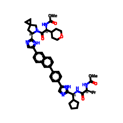 COC(=O)N[C@H](C(=O)N[C@H](c1ncc(-c2ccc(-c3ccc4cc(-c5cnc([C@@H]6CC7(CC7)CN6C(=O)[C@@H](NC(=O)OC)C6CCOCC6)[nH]5)ccc4c3)cc2)[nH]1)C1CCCC1)C(C)C